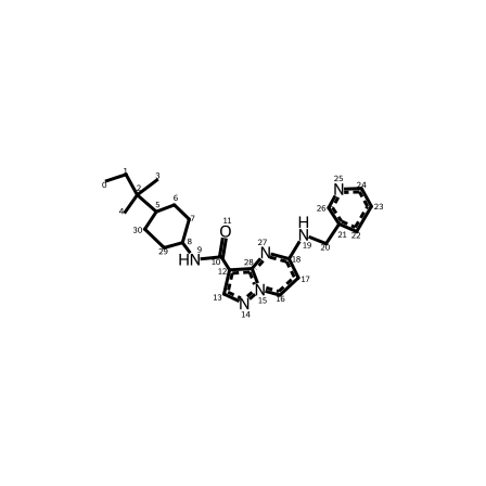 CCC(C)(C)C1CCC(NC(=O)c2cnn3ccc(NCc4cccnc4)nc23)CC1